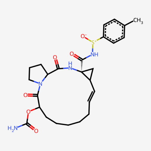 Cc1ccc([S+]([O-])NC(=O)[C@]23CC2/C=C/CCCCCC(OC(N)=O)C(=O)N2CCCC2C(=O)N3)cc1